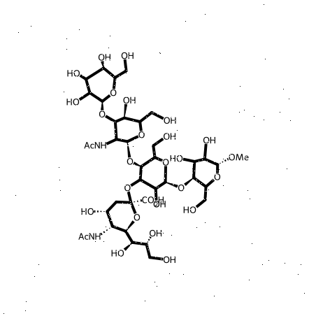 CO[C@@H]1OC(CO)[C@@H](O[C@@H]2OC(CO)[C@H](O[C@@H]3OC(CO)[C@H](O)C(O[C@@H]4OC(CO)[C@H](O)C(O)C4O)C3NC(C)=O)C(O[C@]3(C(=O)O)C[C@@H](O)[C@@H](NC(C)=O)[C@H]([C@H](O)[C@H](O)CO)O3)C2O)C(O)C1O